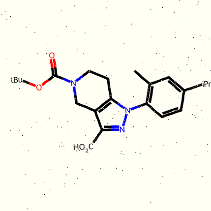 Cc1cc(C(C)C)ccc1-n1nc(C(=O)O)c2c1CCN(C(=O)OC(C)(C)C)C2